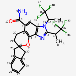 CC(c1nc2c3c(c(C(N)=O)cc2n1C(C)C(F)(F)F)CCC1(Cc2ccccc2C1)O3)C(F)(F)F